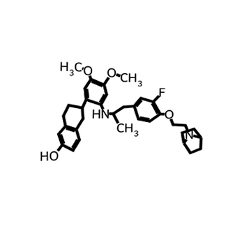 COc1cc(NC(C)Cc2ccc(OCCN3C4CCC3CC4)c(F)c2)c(C2CCc3cc(O)ccc3C2)cc1OC